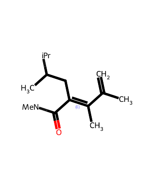 C=C(C)/C(C)=C(\CC(C)C(C)C)C(=O)NC